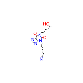 CC(O)CCCCn1c(=O)c2c(ncn2C)n(CCCCCC#N)c1=O